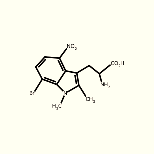 Cc1c(CC(N)C(=O)O)c2c([N+](=O)[O-])ccc(Br)c2n1C